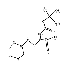 CC(C)(C)OC(=O)NC(COC1CCCCC1)C(=O)O